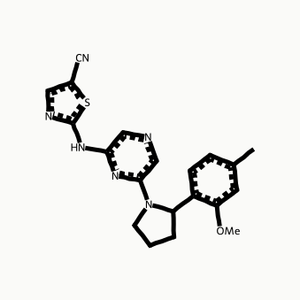 COc1cc(C)ccc1C1CCCN1c1cncc(Nc2ncc(C#N)s2)n1